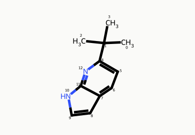 CC(C)(C)c1ccc2cc[nH]c2n1